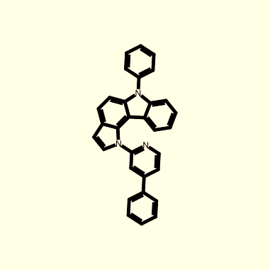 c1ccc(-c2ccnc(-n3ccc4ccc5c(c6ccccc6n5-c5ccccc5)c43)c2)cc1